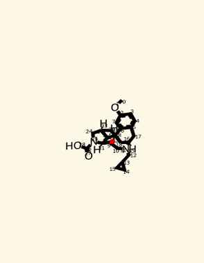 COc1ccc2c(c1)[C@]13CCN(CC4CC4)[C@H](C2)[C@]12CC[C@@H]1[C@H]3[C@@H](CN1C(=O)O)C2